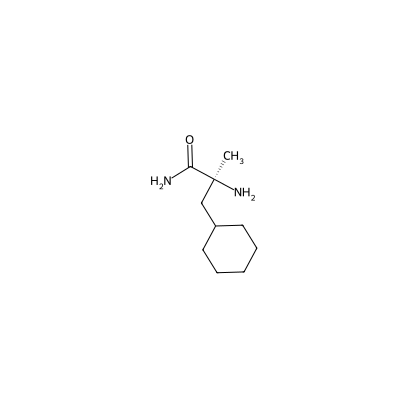 C[C@](N)(CC1CCCCC1)C(N)=O